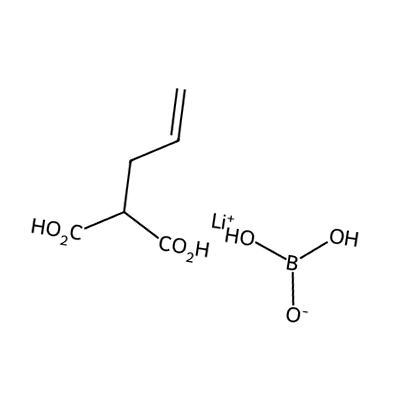 C=CCC(C(=O)O)C(=O)O.[Li+].[O-]B(O)O